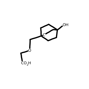 O=C(O)COCC12CCC(O)(CC1)CC2